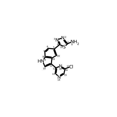 Nc1nnc(-c2ccc3[nH]cc(-c4cncc(Cl)n4)c3c2)s1